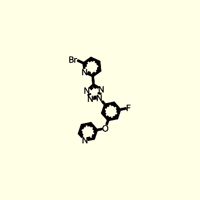 Fc1cc(Oc2cccnc2)cc(-n2nnc(-c3cccc(Br)n3)n2)c1